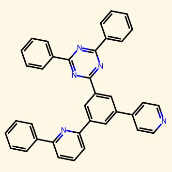 c1ccc(-c2cccc(-c3cc(-c4ccncc4)cc(-c4nc(-c5ccccc5)nc(-c5ccccc5)n4)c3)n2)cc1